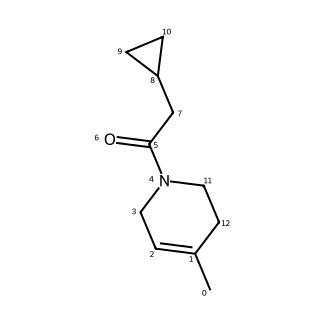 CC1=CCN(C(=O)CC2CC2)CC1